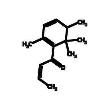 C/C=C\C(=O)C1=C(C)C=CC(C)C1(C)C